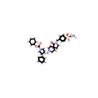 CS(=O)(=O)c1ccc(CN2CCC3(CCN(C[C@H]4CN(C(=O)OC5CCCCC5)C[C@@H]4c4ccccc4)CC3)C2=O)cc1